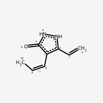 C=Cc1[nH][nH]c(=O)c1/C=C\C